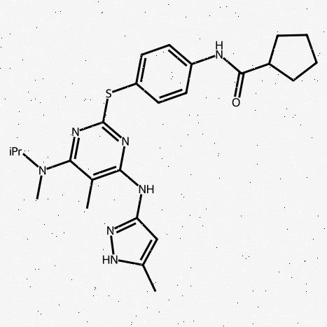 Cc1cc(Nc2nc(Sc3ccc(NC(=O)C4CCCC4)cc3)nc(N(C)C(C)C)c2C)n[nH]1